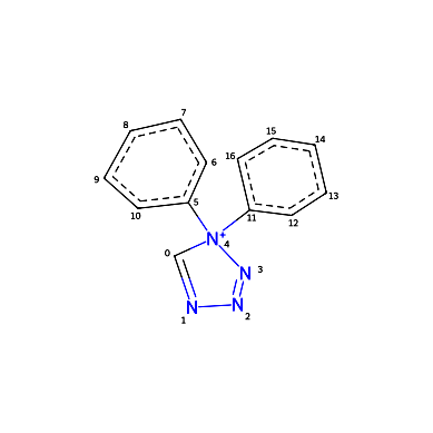 C1=NN=N[N+]1(c1ccccc1)c1ccccc1